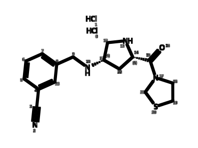 Cl.Cl.N#Cc1cccc(CN[C@@H]2CN[C@H](C(=O)N3CCSC3)C2)c1